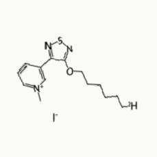 [2H]CCCCCCOc1nsnc1-c1ccc[n+](C)c1.[I-]